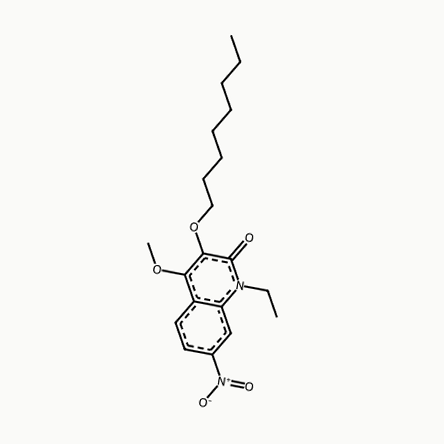 CCCCCCCCOc1c(OC)c2ccc([N+](=O)[O-])cc2n(CC)c1=O